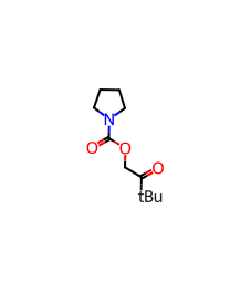 CC(C)(C)C(=O)COC(=O)N1CCCC1